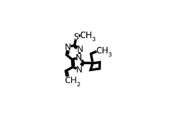 C=Cc1nc(C2(CC)CCC2)n2nc(SC)ncc12